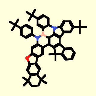 CC(C)(C)c1ccc(N2B3c4cc(C(C)(C)C)ccc4-n4c5ccc(C(C)(C)C)cc5c5c6c(c(c3c54)-c3cc4c(cc32)oc2cc3c(cc24)C(C)(C)CCC3(C)C)C(C)(C)c2ccccc2-6)cc1